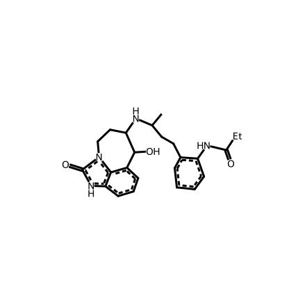 CCC(=O)Nc1ccccc1CCC(C)NC1CCn2c(=O)[nH]c3cccc(c32)C1O